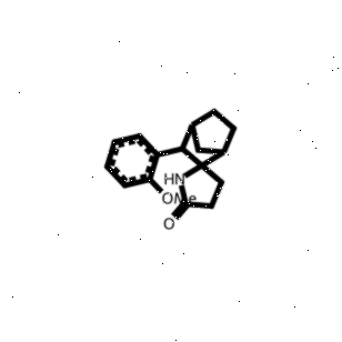 COc1ccccc1C1C2CCC(C2)C12CCC(=O)N2